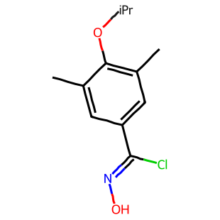 Cc1cc(C(Cl)=NO)cc(C)c1OC(C)C